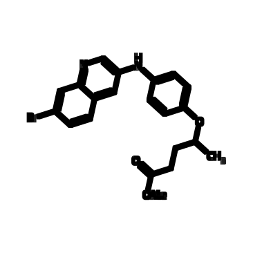 COC(=O)CCC(C)Oc1ccc(Nc2cnc3cc(Br)ccc3c2)cc1